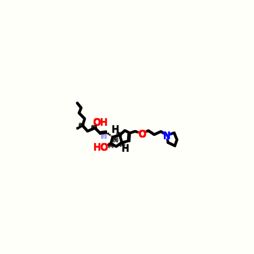 CCCC[C@H](C)C[C@H](O)/C=C/[C@@H]1[C@H]2CC(COCCCN3CCCC3)=C[C@H]2C[C@H]1O